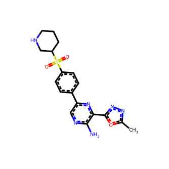 Cc1nnc(-c2nc(-c3ccc(S(=O)(=O)C4CCCNC4)cc3)cnc2N)o1